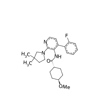 CO[C@H]1CC[C@H](C(=O)Nc2c(-c3ccccc3F)ccnc2N2CCC(C)(C)C2)CC1